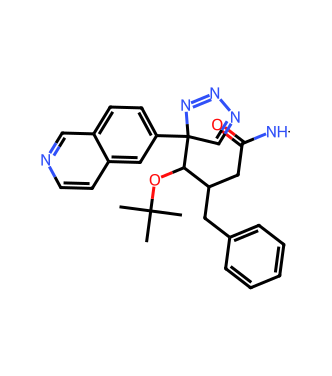 CC(C)(C)OC(C(CC([NH])=O)Cc1ccccc1)C1(c2ccc3cnccc3c2)C=NN=N1